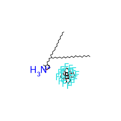 CCCCCCCCCCCCCCCCCCCC(CCCCCCCCCCCCCC)CCCc1cccc([NH3+])c1C.Fc1c(F)c(F)c([B-](c2c(F)c(F)c(F)c(F)c2F)(c2c(F)c(F)c(F)c(F)c2F)c2c(F)c(F)c(F)c(F)c2F)c(F)c1F